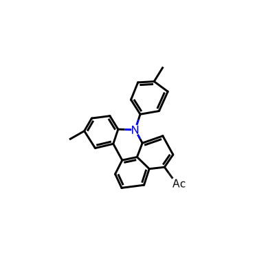 CC(=O)c1ccc2c3c(cccc13)-c1cc(C)ccc1N2c1ccc(C)cc1